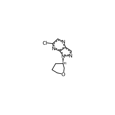 Clc1cnc2cnn([C@@H]3CCCOC3)c2n1